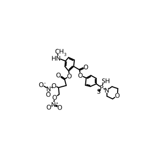 CNc1ccc(C(=O)Oc2ccc(P(=S)(S)N3CCOCC3)cc2)c(OC(=O)CC(CO[N+](=O)[O-])O[N+](=O)[O-])c1